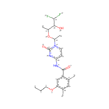 CCCOc1cc(C(=O)Nc2ccn(C(C)OC(C)C(O)C(F)F)c(=O)n2)c(C)cc1C